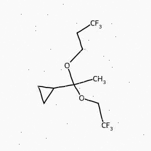 CC(O[CH]CC(F)(F)F)(OCC(F)(F)F)C1CC1